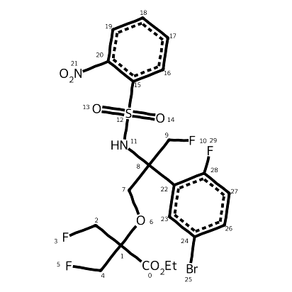 CCOC(=O)C(CF)(CF)OCC(CF)(NS(=O)(=O)c1ccccc1[N+](=O)[O-])c1cc(Br)ccc1F